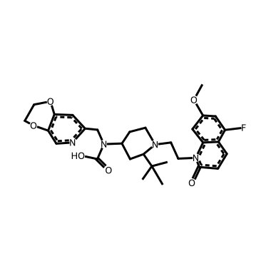 COc1cc(F)c2ccc(=O)n(CCN3CCC(N(Cc4cc5c(cn4)OCCO5)C(=O)O)CC3C(C)(C)C)c2c1